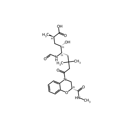 CNC(=O)[C@H]1CN(C(=O)CC(C)(C)C[C@H](NC=O)[C@@H](O)C[C@@H](C)C(=O)O)c2ccccc2O1